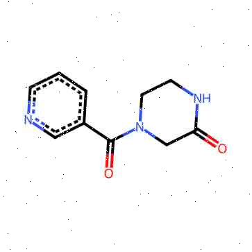 O=C1CN(C(=O)c2cc[c]nc2)CCN1